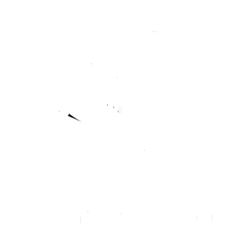 CCCCCCCCCCCC(=O)N[C@@H](Cc1ccc(O)cc1C)C(=O)O